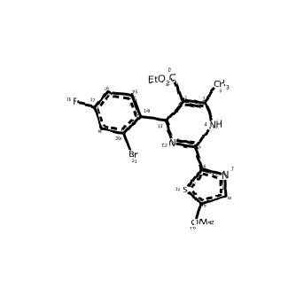 CCOC(=O)C1=C(C)NC(c2ncc(OC)s2)=NC1c1ccc(F)cc1Br